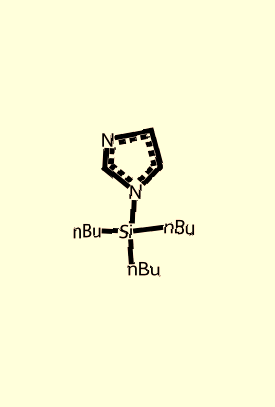 CCCC[Si](CCCC)(CCCC)n1ccnc1